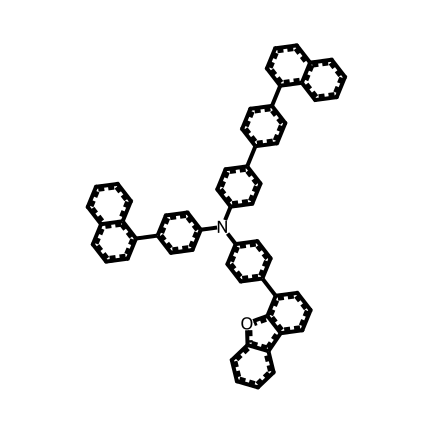 c1ccc2c(-c3ccc(-c4ccc(N(c5ccc(-c6cccc7ccccc67)cc5)c5ccc(-c6cccc7c6oc6ccccc67)cc5)cc4)cc3)cccc2c1